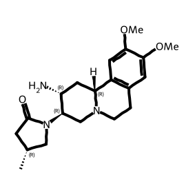 COc1cc2c(cc1OC)[C@H]1C[C@@H](N)[C@H](N3C[C@H](C)CC3=O)CN1CC2